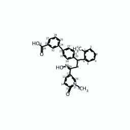 Cc1ccccc1C(CC(=NO)c1ccc(=O)n(C)c1)c1ccc(-c2cccc(C(=O)O)c2)cc1